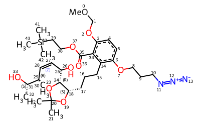 COCOc1ccc(OCCCN=[N+]=[N-])c(CCC[C@@H]2OC(C)(C)O[C@@H]2C(O)/C=C\[C@@H](C)[C@H](C)O)c1C(=O)OCC[Si](C)(C)C